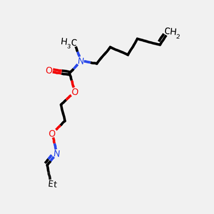 C=CCCCCN(C)C(=O)OCCON=CCC